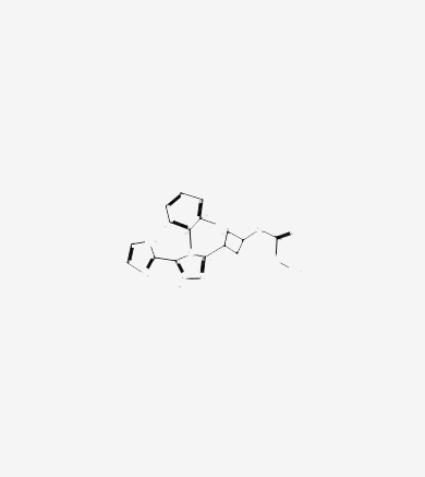 CC(C)(C)OC(=O)NC1CC(c2nnc(-c3nccs3)n2-c2ccccc2F)C1